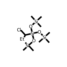 CCC(Cl)[Si](O[Si](C)(C)C)(O[Si](C)(C)C)O[Si](C)(C)C